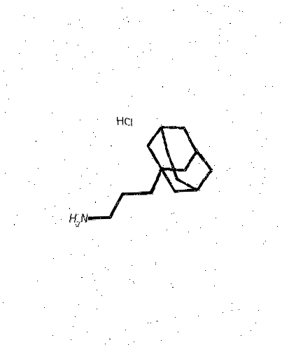 Cl.NCCCC12CC3CC(CC(C3)C1)C2